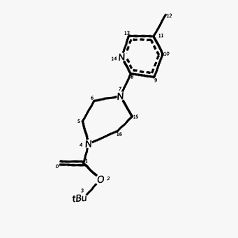 C=C(OC(C)(C)C)N1CCN(c2ccc(C)cn2)CC1